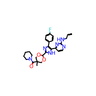 C=CCNc1nccc(-c2[nH]c(C3OCC(C)(C(=O)N4CCCCC4)CO3)nc2-c2ccc(F)cc2)n1